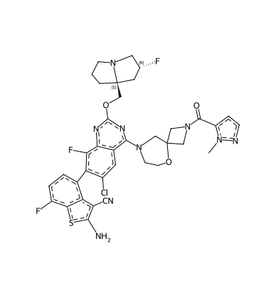 Cn1nccc1C(=O)N1CC2(C1)CN(c1nc(OC[C@@]34CCCN3C[C@H](F)C4)nc3c(F)c(-c4ccc(F)c5sc(N)c(C#N)c45)c(Cl)cc13)CCO2